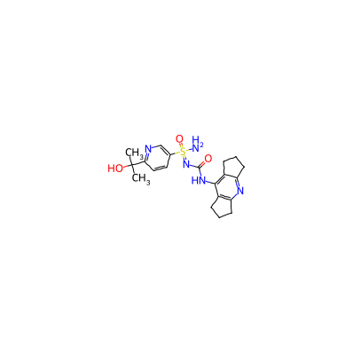 CC(C)(O)c1ccc(S(N)(=O)=NC(=O)Nc2c3c(nc4c2CCC4)CCC3)cn1